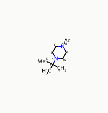 CSC(C)(C)N1CCN(C(C)=O)CC1